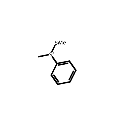 CS[S+](C)c1ccccc1